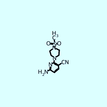 CS(=O)(=O)N1CCN(c2nc(N)ccc2C#N)CC1